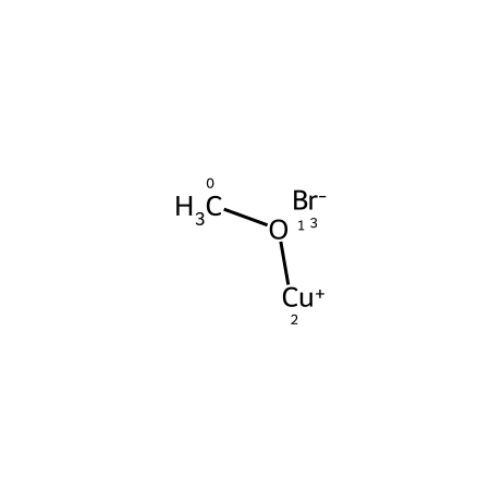 C[O][Cu+].[Br-]